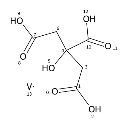 O=C(O)CC(O)(CC(=O)O)C(=O)O.[V]